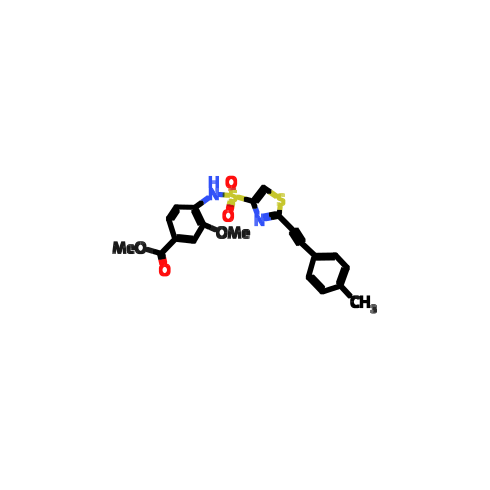 COC(=O)c1ccc(NS(=O)(=O)c2csc(C#Cc3ccc(C)cc3)n2)c(OC)c1